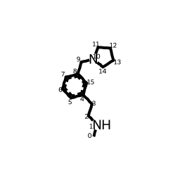 CNCCc1cccc(CN2CCCC2)c1